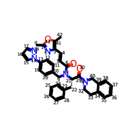 Cc1nc(/C=C/C(=O)N(Cc2ccc(-n3cccn3)cc2)[C@@H](Cc2ccccc2)C(=O)N2CCc3ccccc3C2)c(C)o1